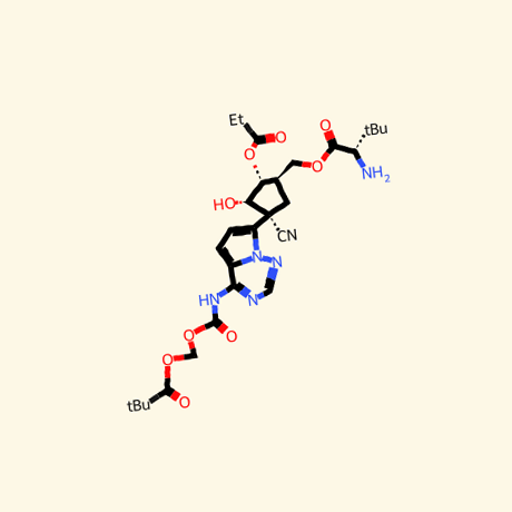 CCC(=O)O[C@@H]1[C@@H](COC(=O)[C@@H](N)C(C)(C)C)C[C@@](C#N)(c2ccc3c(NC(=O)OCOC(=O)C(C)(C)C)ncnn23)[C@@H]1O